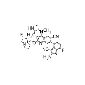 C[C@H]1NCC[C@H]1N(C)c1nc(OC[C@@]23CCCN2C[C@H](F)C3)nc2cc(-c3ccc(F)c4sc(N)c(C#N)c34)c(C#N)cc12